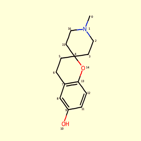 CN1CCC2(CCc3cc(O)ccc3O2)CC1